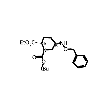 CCOC(=O)[C@@H]1CC[C@@H](NOCc2ccccc2)CN1C(=O)OC(C)(C)C